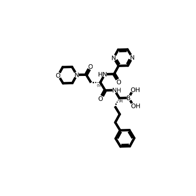 O=C(N[C@@H](CC(=O)N1CCOCC1)C(=O)N[C@@H](CCCc1ccccc1)B(O)O)c1cnccn1